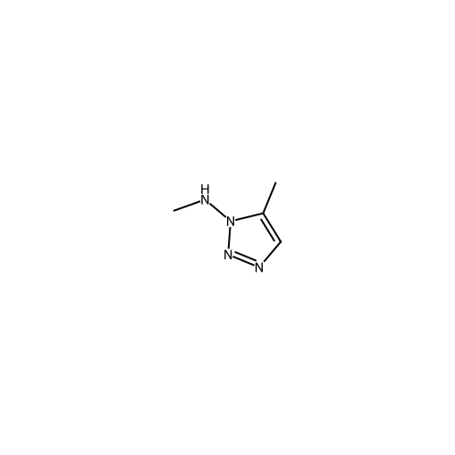 CNn1nncc1C